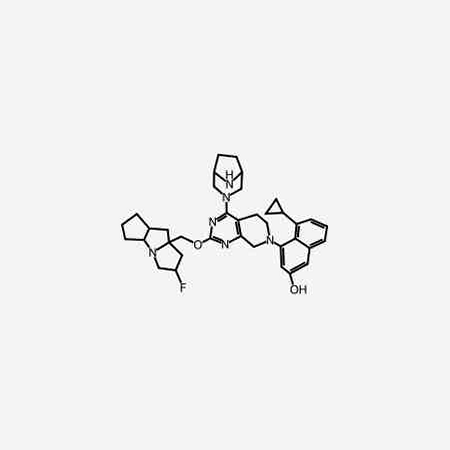 Oc1cc(N2CCc3c(nc(OCC45CC(F)CN4C4CCCC4C5)nc3N3CC4CCC(C3)N4)C2)c2c(C3CC3)cccc2c1